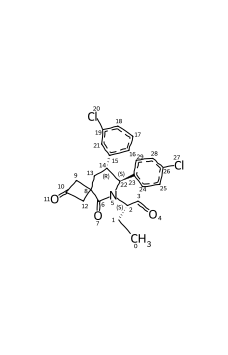 CC[C@@H](C=O)N1C(=O)C2(CC(=O)C2)C[C@H](c2cccc(Cl)c2)[C@H]1c1ccc(Cl)cc1